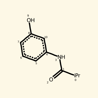 CC(C)C(=O)Nc1cccc(O)c1